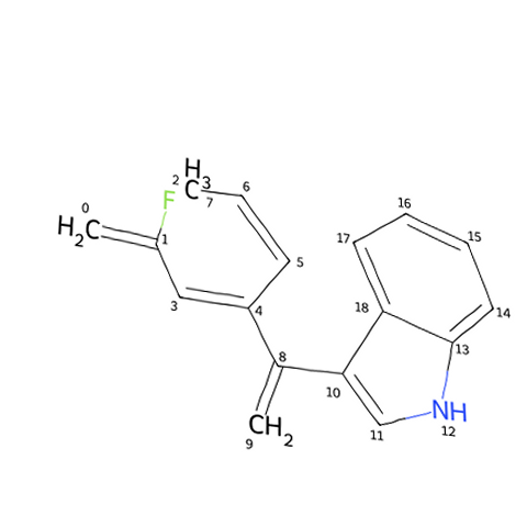 C=C(F)/C=C(\C=C/C)C(=C)c1c[nH]c2ccccc12